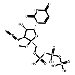 CO[C@]1(COP(=O)(S)OP(=O)(O)OP(=O)(O)O)O[C@@H](n2ccc(=O)[nH]c2=O)[C@H](O)[C@@H]1N=[N+]=[N-]